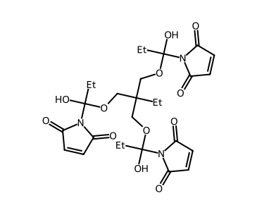 CCC(COC(O)(CC)N1C(=O)C=CC1=O)(COC(O)(CC)N1C(=O)C=CC1=O)COC(O)(CC)N1C(=O)C=CC1=O